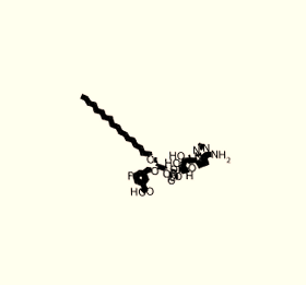 CCCCCCCCCCCCCCCCCCOC[C@H](COP(=O)(O)OC1[C@H]2O[C@@](C)(c3ccc4c(N)ncnn34)[C@H](O)[C@@]12O)OCc1cc(F)cc(C(=O)O)c1